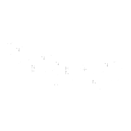 CC(=O)N1CCC(Nc2cc(C(=O)NCC(O)CN3CCc4cccnc4C3)ncn2)CC1